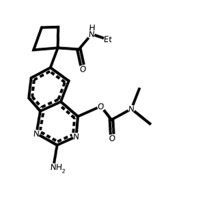 CCNC(=O)C1(c2ccc3nc(N)nc(OC(=O)N(C)C)c3c2)CCC1